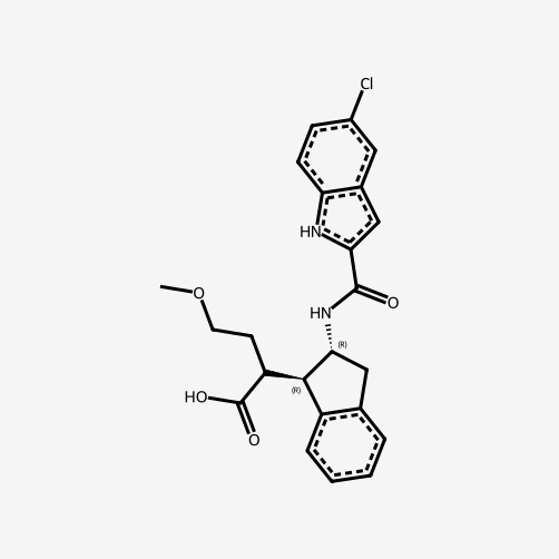 COCCC(C(=O)O)[C@@H]1c2ccccc2C[C@H]1NC(=O)c1cc2cc(Cl)ccc2[nH]1